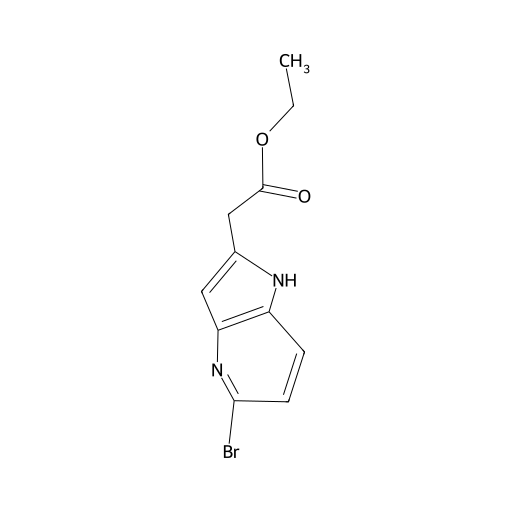 CCOC(=O)Cc1cc2nc(Br)ccc2[nH]1